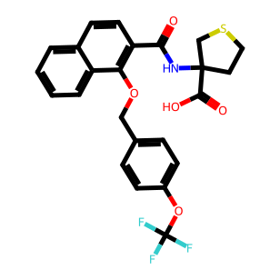 O=C(NC1(C(=O)O)CCSC1)c1ccc2ccccc2c1OCc1ccc(OC(F)(F)F)cc1